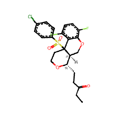 CCC(=O)CC[C@@H]1OCCC2(S(=O)(=O)c3ccc(Cl)cc3)c3c(F)ccc(F)c3OC[C@@H]12